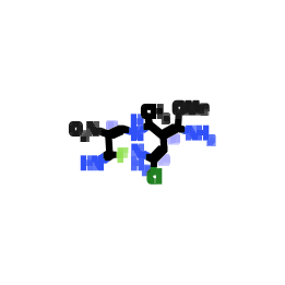 CO/C(N)=C(/C=C(\N)Cl)C(C)N/C=C(\C(=N)F)[N+](=O)[O-]